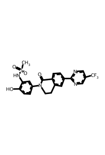 CS(=O)(=O)Nc1cc(N2CCc3cc(-c4ncc(C(F)(F)F)cn4)ccc3C2=O)ccc1O